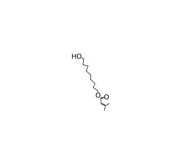 CC(C)=CC(=O)OCCCCCCCCCO